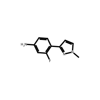 Cn1ccc(-c2ccc(N)cc2F)n1